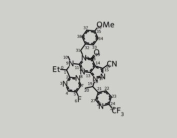 CCC(c1ncc(F)cn1)N(C)c1nc2c(c(C#N)nn2C(C)c2ccc(C(F)(F)F)nc2)c(=O)n1Cc1ccc(OC)cc1